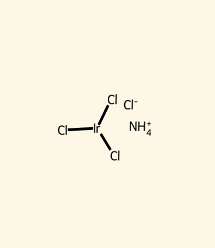 [Cl-].[Cl][Ir]([Cl])[Cl].[NH4+]